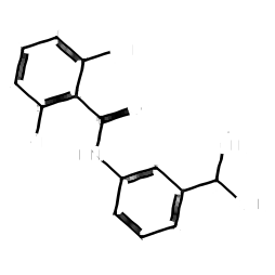 Cc1cccc(C)c1C(=O)Nc1cccc(C(C)C)c1